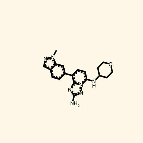 Cn1ncc2ccc(-c3ccc(NC4CCOCC4)n4nc(N)nc34)cc21